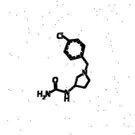 NC(=O)NC1CCN(Cc2ccc(Cl)cc2)C1